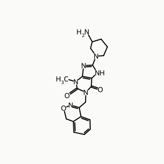 Cn1c(=O)n(CC2=NOCc3ccccc32)c(=O)c2[nH]c(N3CCCC(N)C3)nc21